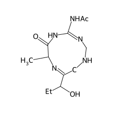 CCC(O)/C1=N/C(C)C(=O)N/C(NC(C)=O)=N\CNC1